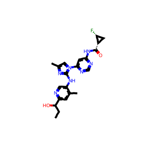 CCC(O)c1cc(C)c(Nc2nc(C)cn2-c2cc(NC(=O)[C@H]3C[C@H]3F)ncn2)cn1